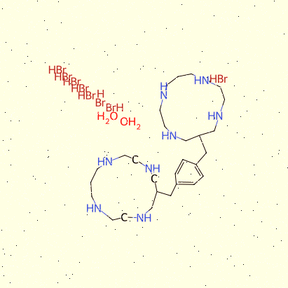 Br.Br.Br.Br.Br.Br.Br.Br.O.O.c1cc(CC2CNCCNCCCNCCNC2)ccc1CC1CNCCNCCCNCCNC1